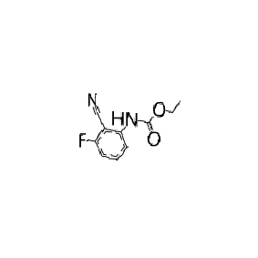 CCOC(=O)Nc1cccc(F)c1C#N